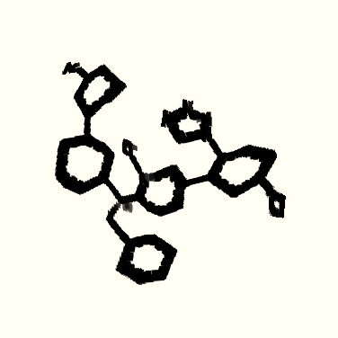 CC(=O)c1cccc(-c2cccc([C@@H](Cc3ccccc3)c3ccc(-c4cc(Cl)ccc4-n4cnnn4)c[n+]3[O-])c2)c1